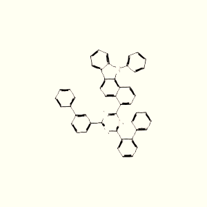 c1ccc(-c2cccc(-c3nc(-c4ccccc4-c4ccccc4)nc(-c4cccc5c4ccc4c6ccccc6n(-c6ccccc6)c54)n3)c2)cc1